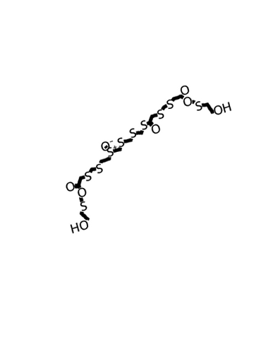 O=C(CSCSCC[S+]([O-])CSCSCSC(=O)CSCSCC(=O)OCSCCO)OCSCCO